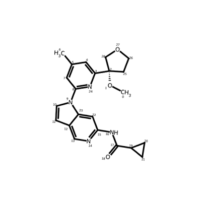 CO[C@@]1(c2cc(C)cc(-n3ccc4cnc(NC(=O)C5CC5)cc43)n2)CCOC1